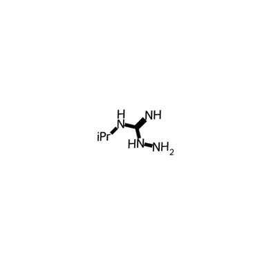 CC(C)NC(=N)NN